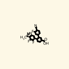 Cn1nnc2cc(-c3ccc(C(=O)O)cc3-c3ccc(C#N)c(F)c3)c(F)c(F)c21